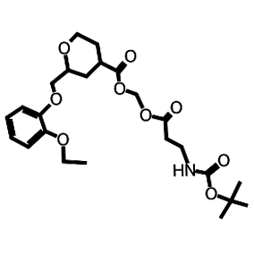 CCOc1ccccc1OCC1CC(C(=O)OCOC(=O)CCNC(=O)OC(C)(C)C)CCO1